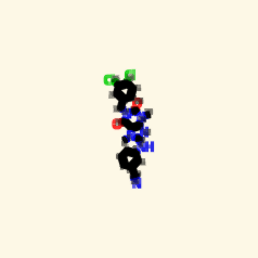 Cn1c(Nc2cccc(C#N)c2)nc2c1c(=O)n(Cc1ccc(Cl)c(Cl)c1)c(=O)n2C